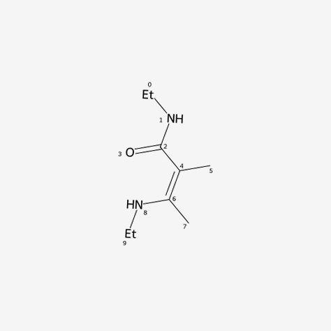 CCNC(=O)/C(C)=C(/C)NCC